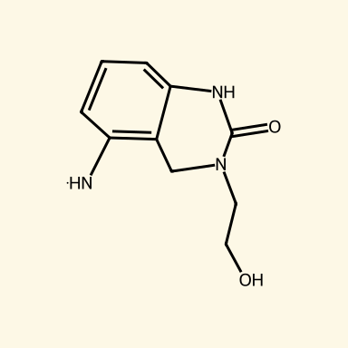 [NH]c1cccc2c1CN(CCO)C(=O)N2